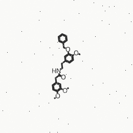 COc1ccc(CC(=O)NCCc2ccc(OC)c(OCc3ccccc3)c2)cc1OC